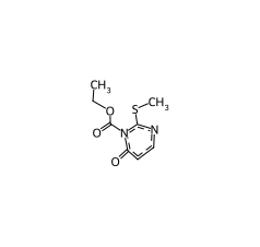 CCOC(=O)n1c(SC)nccc1=O